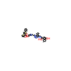 O=C(OC1CC2(C1)CN(CCCn1nnc3cc(CNC[C@H](O)c4ccc(O)c5c4CCCC5)c4c(c31)CCC4)C2)[C@](O)(c1cccs1)c1ccc(-c2ccccc2)s1